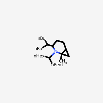 CCCCCCC(CCCCC)N1C(C(CCCC)CCCC)CCC2CC21C